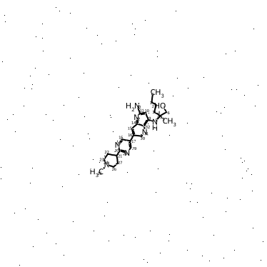 CCCC[C@](C)(CO)Nc1cc(N)nc2cc(-c3cnc(C4CCN(C)CC4)nc3)cnc12